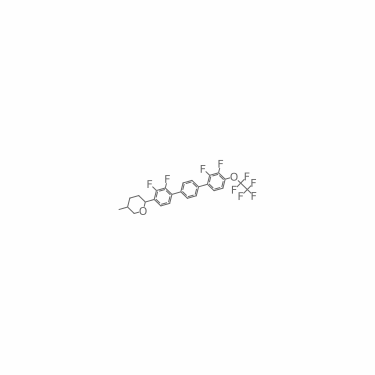 CC1CCC(c2ccc(-c3ccc(-c4ccc(OC(F)(F)C(F)(F)F)c(F)c4F)cc3)c(F)c2F)OC1